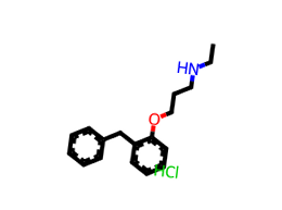 CCNCCCOc1ccccc1Cc1ccccc1.Cl